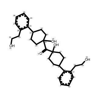 O=C(C1(O)CCC(c2ccccc2CCO)CC1)C1(O)CCC(c2ccccc2CCO)CC1